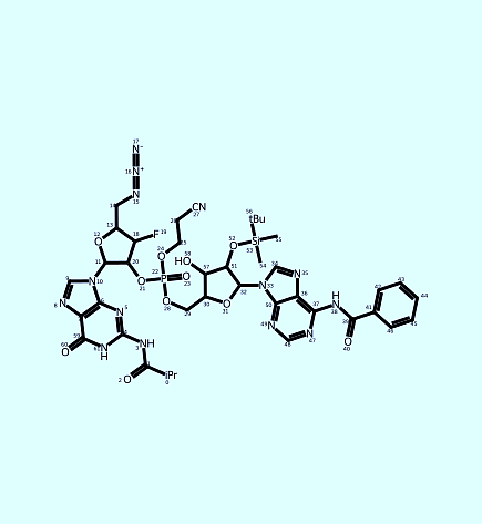 CC(C)C(=O)Nc1nc2c(ncn2C2OC(CN=[N+]=[N-])C(F)C2OP(=O)(OCCC#N)OCC2OC(n3cnc4c(NC(=O)c5ccccc5)ncnc43)C(O[Si](C)(C)C(C)(C)C)C2O)c(=O)[nH]1